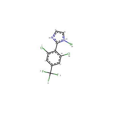 FC(F)(F)c1cc(Cl)c(-c2nccn2Br)c(Cl)c1